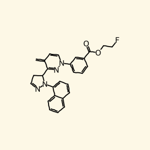 C=C1C=CN(c2cccc(C(=O)OCCF)c2)N=C1C1CC=NN1c1cccc2ccccc12